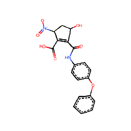 O=C(O)C1=C(C(=O)Nc2ccc(Oc3ccccc3)cc2)C(O)CC1[N+](=O)[O-]